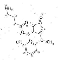 COC1=CC(=O)OC1C(OC(=O)CCCN)c1ccccc1Cl